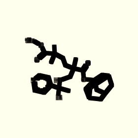 CCC(C)(BCC(C)(CCC(C)(C)C(=O)OC(C)(C)C)C(=O)OC12CC3CC(CC(C3)C1)C2)c1ccncc1